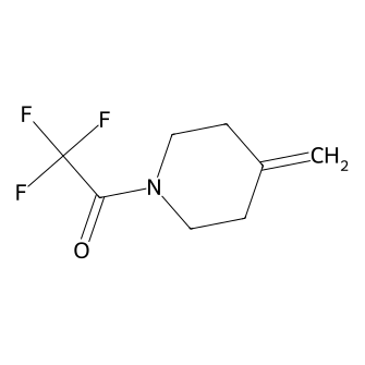 C=C1CCN(C(=O)C(F)(F)F)CC1